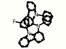 Fc1cccc(-n2c3ccccc3c3cccc(N(c4ccccc4)c4cccc5c6ccccc6n(-c6ccccc6)c45)c32)c1